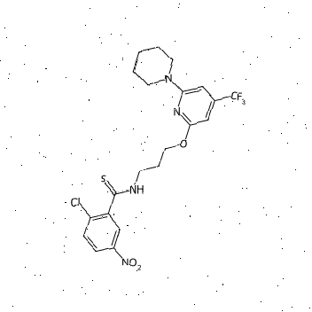 O=[N+]([O-])c1ccc(Cl)c(C(=S)NCCCOc2cc(C(F)(F)F)cc(N3CCCCC3)n2)c1